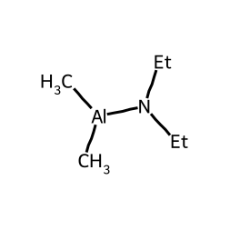 CC[N](CC)[Al]([CH3])[CH3]